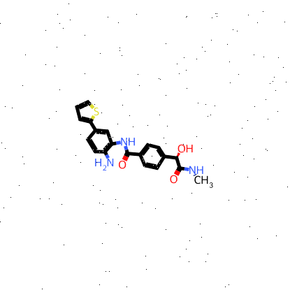 CNC(=O)[C@H](O)c1ccc(C(=O)Nc2cc(-c3cccs3)ccc2N)cc1